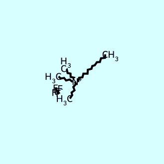 CCCCCCCCCCCCCC[N+](CCCCCC)(CCCCCC)CCCCCC.F[B-](F)(F)F